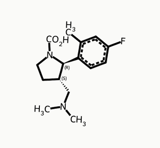 Cc1cc(F)ccc1[C@H]1[C@H](CN(C)C)CCN1C(=O)O